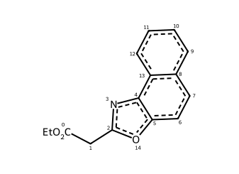 CCOC(=O)Cc1nc2c(ccc3ccccc32)o1